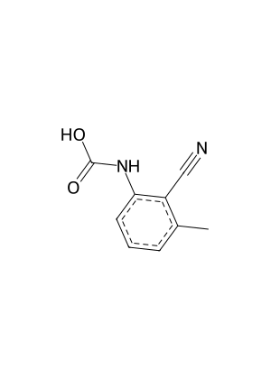 Cc1cccc(NC(=O)O)c1C#N